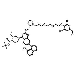 CC[C@H]1CN(c2nc(OC[C@@H]3CCCN3CCCOCCOCCOc3c(Br)cc(C=O)cc3Br)nc3c2CCN(c2cccc4cccc(Cl)c24)C3)CCN1C(=O)OC(C)(C)C